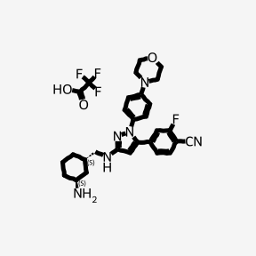 N#Cc1ccc(-c2cc(NC[C@H]3CCC[C@H](N)C3)nn2-c2ccc(N3CCOCC3)cc2)cc1F.O=C(O)C(F)(F)F